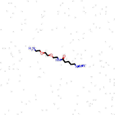 [N-]=[N+]=NCCCCC(=O)NCCOCCOCCN